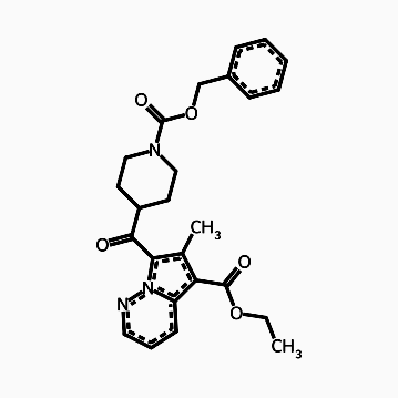 CCOC(=O)c1c(C)c(C(=O)C2CCN(C(=O)OCc3ccccc3)CC2)n2ncccc12